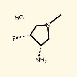 CN1C[C@@H](F)[C@@H](N)C1.Cl